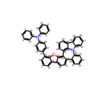 c1ccc(N(c2ccccc2)c2ccc(-c3cccc4c3oc3c5c(ccc34)-c3ccccc3-n3c4ccccc4c4cccc-5c43)cc2)cc1